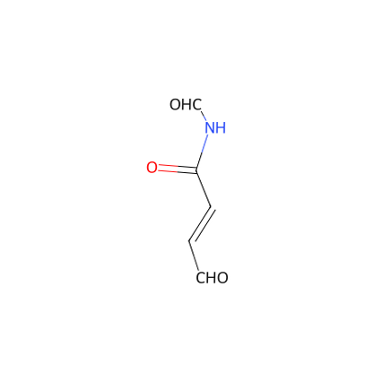 O=CC=CC(=O)NC=O